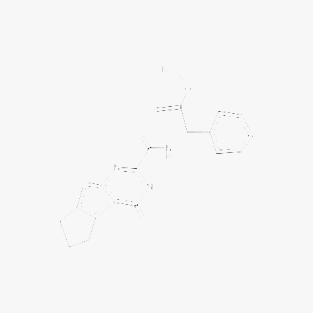 COC(=O)[C@@H](NC(=O)c1nc2sc3c(c2c(=O)[nH]1)CCC3)c1ccccc1